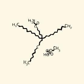 CCCCCCCCCCCCC(CCCCCCCCCCCC)(CCCCCCCCCCCC)CCCCCOC(=O)CN.CCOS(=O)(=O)O